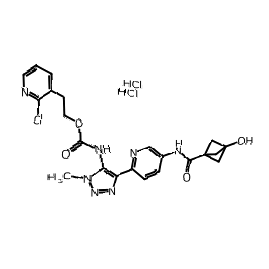 Cl.Cl.Cn1nnc(-c2ccc(NC(=O)C34CC(O)(C3)C4)cn2)c1NC(=O)OCCc1cccnc1Cl